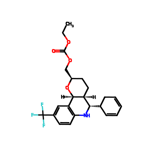 CCOC(=O)OC[C@H]1CC[C@@H]2[C@H](O1)c1cc(C(F)(F)F)ccc1N[C@H]2C1C=CC=CC1